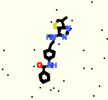 CC1CSc2c(NCCc3ccc(NC(=O)c4ccccc4)cc3)ncnc21